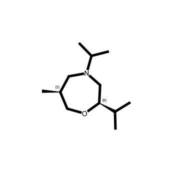 CC(C)[C@@H]1CN(C(C)C)C[C@H](C)CO1